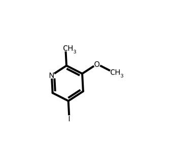 COc1cc(I)cnc1C